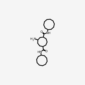 NC1CCC(C(=O)NC2CCCCCCCCC2)CCCC(C(=O)NC2CCCCCCCCC2)C1